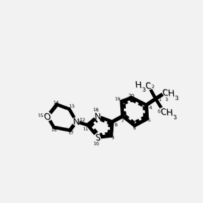 CC(C)(C)c1ccc(-c2csc(N3CCOCC3)n2)cc1